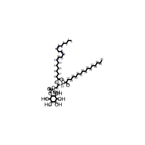 CCCCC/C=C\C/C=C\C/C=C\CCCCCCC(=O)O[C@H](COC(=O)CCCCCCCCCCCCCCC)COP(=O)(O)OC1C(O)C(O)C(O)[C@@H](O)C1O